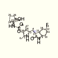 Cc1[nH]c(/C=C2\C(=O)Nc3ccc(F)cc32)c(C)c1OC(=O)N[C@H]1CCC[C@H]1O